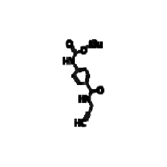 C#CCNC(=O)c1ccc(NC(=O)OC(C)(C)C)cc1